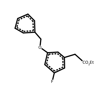 CCOC(=O)Cc1cc(F)cc(OCc2ccccc2)c1